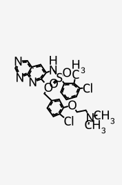 Cc1c(Cl)cccc1S(=O)(=O)Nc1cc2cncnc2nc1OCc1ccc(Cl)c(OCCN(C)C)c1